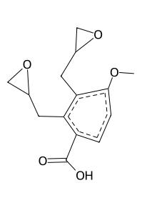 COc1ccc(C(=O)O)c(CC2CO2)c1CC1CO1